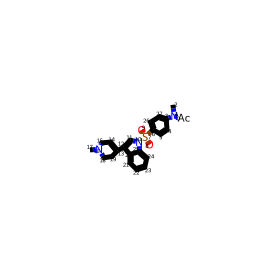 CC(=O)N(C)c1ccc(S(=O)(=O)n2cc(C3=CCN(C)CC3)c3ccccc32)cc1